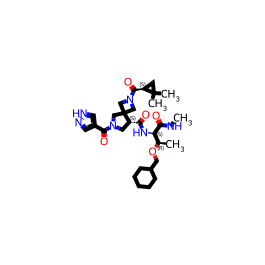 CNC(=O)[C@@H](NC(=O)[C@@H]1CN(C(=O)c2cn[nH]c2)CC12CN(C(=O)[C@H]1CC1(C)C)C2)[C@@H](C)OCC1CCCCC1